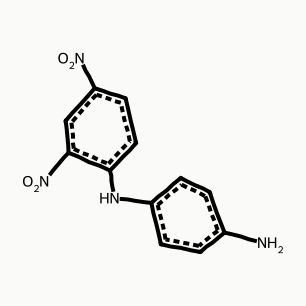 Nc1ccc(Nc2ccc([N+](=O)[O-])cc2[N+](=O)[O-])cc1